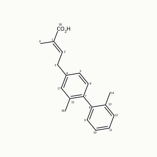 CC(=CCc1ccc(-c2ccccc2C)c(C)c1)C(=O)O